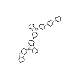 c1ccc(-c2ccc(-c3ccc(-n4c5ccccc5c5cc(-c6ccc7c(c6)c6ccccc6n7-c6ccc7oc8ccccc8c7c6)ccc54)cc3)cc2)cc1